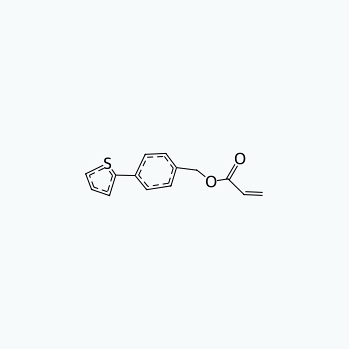 C=CC(=O)OCc1ccc(-c2cccs2)cc1